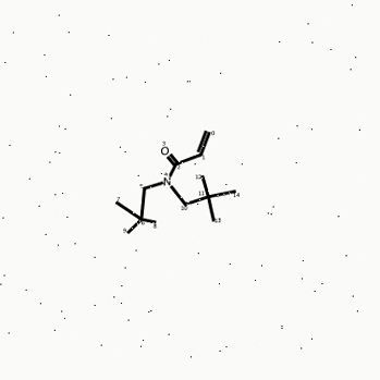 C=CC(=O)N(CC(C)(C)C)CC(C)(C)C